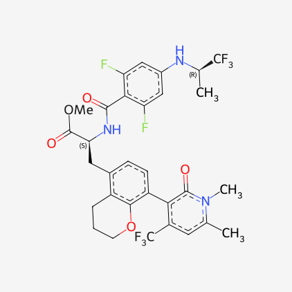 COC(=O)[C@H](Cc1ccc(-c2c(C(F)(F)F)cc(C)n(C)c2=O)c2c1CCCO2)NC(=O)c1c(F)cc(N[C@H](C)C(F)(F)F)cc1F